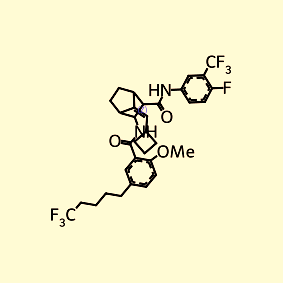 COc1ccc(CCCCC(F)(F)F)cc1C(=O)NC1C2CCC(/C2=C/C2CCC2)C1C(=O)Nc1ccc(F)c(C(F)(F)F)c1